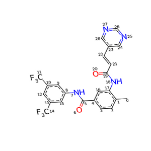 Cc1ccc(C(=O)Nc2cc(C(F)(F)F)cc(C(F)(F)F)c2)cc1NC(=O)C=Cc1cncnc1